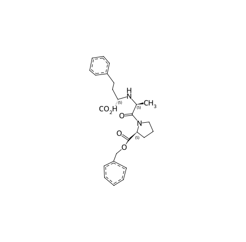 C[C@H](N[C@@H](CCc1ccccc1)C(=O)O)C(=O)N1CCC[C@H]1C(=O)OCc1ccccc1